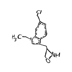 Cn1cc(C2NO2)c2ccc(Cl)cc21